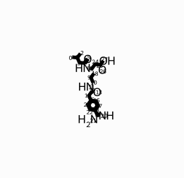 CC(C)CC(=O)N[C@@H](CCCNC(=O)Cc1ccc(C(=N)N)cc1)CC(=O)O